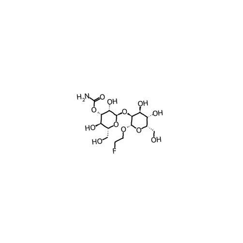 NC(=O)O[C@@H]1[C@H](O)[C@@H](O[C@@H]2[C@@H](OCCF)O[C@@H](CO)[C@@H](O)[C@@H]2O)O[C@H](CO)[C@H]1O